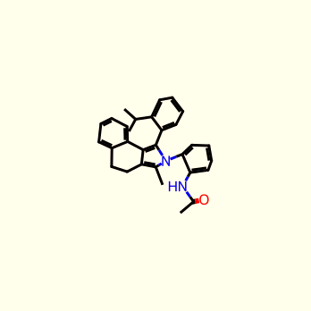 CC(=O)Nc1ccccc1-n1c(C)c2c(c1-c1ccccc1C(C)C)-c1ccccc1CC2